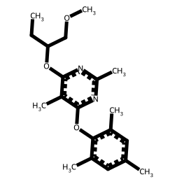 CCC(COC)Oc1nc(C)nc(Oc2c(C)cc(C)cc2C)c1C